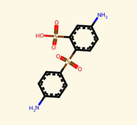 Nc1ccc(S(=O)(=O)c2ccc(N)cc2S(=O)(=O)O)cc1